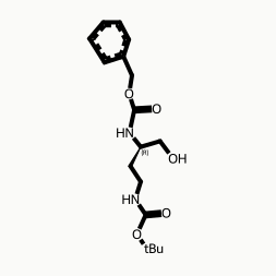 CC(C)(C)OC(=O)NCC[C@H](CO)NC(=O)OCc1ccccc1